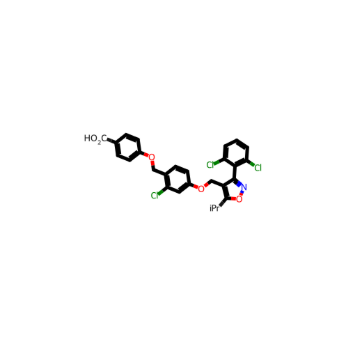 CC(C)c1onc(-c2c(Cl)cccc2Cl)c1COc1ccc(COc2ccc(C(=O)O)cc2)c(Cl)c1